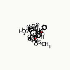 CCSC(=O)O[C@H]1C[C@H]2OC[C@@]2(OC(C)=O)[C@H]2[C@H](OC(=O)c3ccccc3)[C@]34OC(=O)O[C@H]3C(=O)C(C)=C([C@@H](OC)C(=O)[C@]12C)C4(C)C